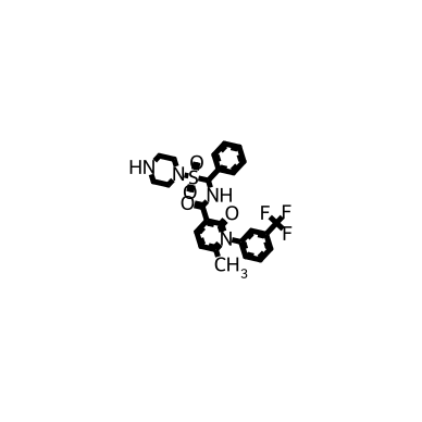 Cc1ccc(C(=O)NC(c2ccccc2)S(=O)(=O)N2CCNCC2)c(=O)n1-c1cccc(C(F)(F)F)c1